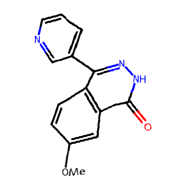 COc1ccc2c(-c3cccnc3)n[nH]c(=O)c2c1